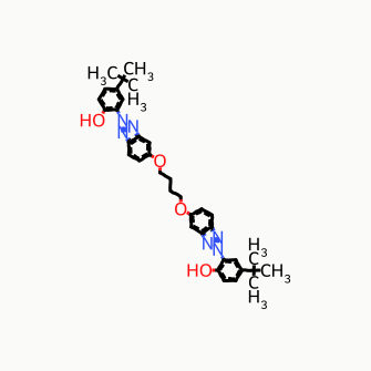 CC(C)(C)c1ccc(O)c(-n2n3c4ccc(OCCCCOc5ccc6c(c5)n5n(-c7cc(C(C)(C)C)ccc7O)n65)cc4n23)c1